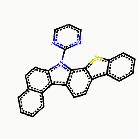 c1cnc(-n2c3ccc4ccccc4c3c3ccc4c5ccccc5sc4c32)nc1